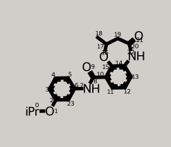 CC(C)Oc1cccc(NC(=O)c2cccc3c2OC(C)CC(=O)N3)c1